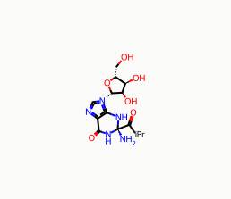 CC(C)C(=O)[C@]1(N)NC(=O)c2ncn([C@@H]3O[C@H](CO)[C@@H](O)[C@H]3O)c2N1